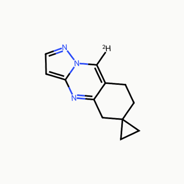 [2H]c1c2c(nc3ccnn13)CC1(CC2)CC1